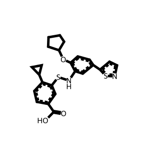 O=C(O)c1ccc(C2CC2)c(SNc2cc(-c3ccns3)ccc2OC2CCCC2)c1